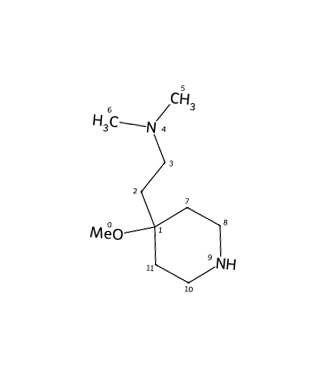 COC1(CCN(C)C)CCNCC1